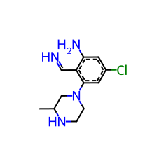 CC1CN(c2cc(Cl)cc(N)c2C=N)CCN1